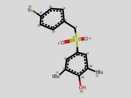 CC(C)(C)c1cc(S(=O)(=O)Cc2ccc(Br)cc2)cc(C(C)(C)C)c1O